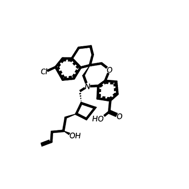 C=CC[C@H](O)C[C@@H]1CC[C@H]1CN1C[C@@]2(CCCc3cc(Cl)ccc32)COc2ccc(C(=O)O)cc21